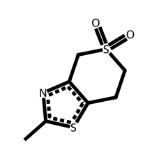 Cc1nc2c(s1)CCS(=O)(=O)C2